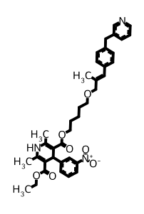 CCOC(=O)C1=C(C)NC(C)=C(C(=O)OCCCCCOC/C(C)=C/c2ccc(Cc3cccnc3)cc2)C1c1cccc([N+](=O)[O-])c1